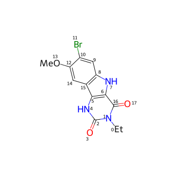 CCn1c(=O)[nH]c2c([nH]c3cc(Br)c(OC)cc32)c1=O